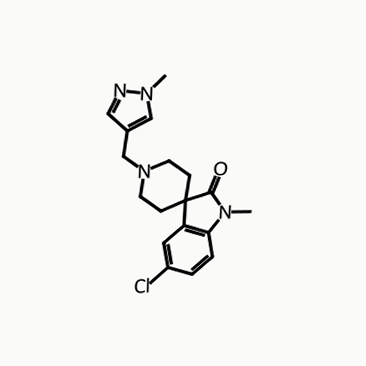 CN1C(=O)C2(CCN(Cc3cnn(C)c3)CC2)c2cc(Cl)ccc21